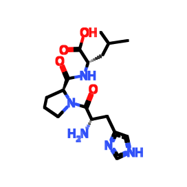 CC(C)C[C@H](NC(=O)[C@@H]1CCCN1C(=O)[C@@H](N)Cc1c[nH]cn1)C(=O)O